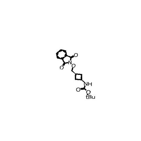 CC(C)(C)OC(=O)N[C@H]1C[C@@H](CON2C(=O)c3ccccc3C2=O)C1